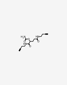 C#CCCNC(=O)CCC(OC(N)=O)C(=O)NCCC#C